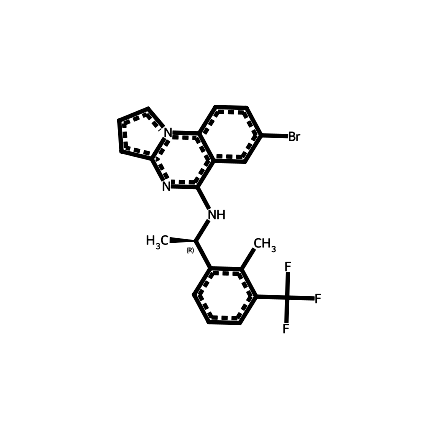 Cc1c([C@@H](C)Nc2nc3cccn3c3ccc(Br)cc23)cccc1C(F)(F)F